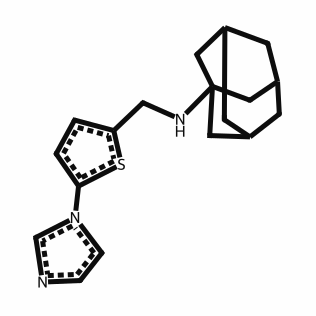 c1cn(-c2ccc(CNC34CC5CC(CC(C5)C3)C4)s2)cn1